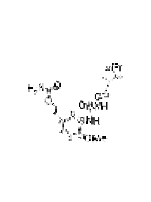 COc1ccc(CCOC(N)=O)cc1NC(=O)NOCCCC(C)C